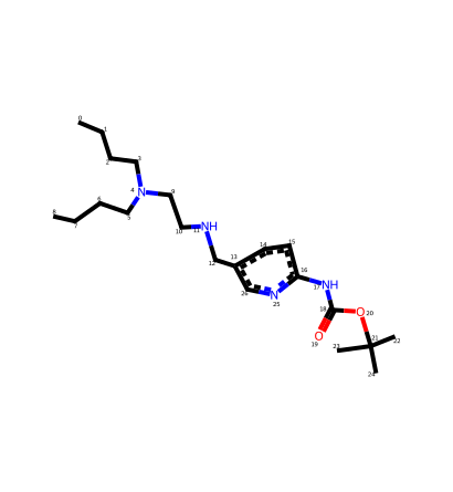 CCCCN(CCCC)CCNCc1ccc(NC(=O)OC(C)(C)C)nc1